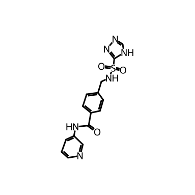 O=C(Nc1cccnc1)c1ccc(CNS(=O)(=O)c2nnc[nH]2)cc1